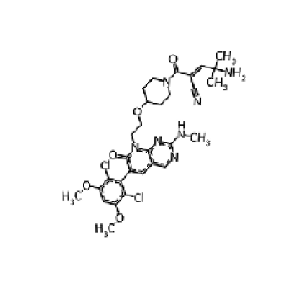 CNc1ncc2cc(-c3c(Cl)c(OC)cc(OC)c3Cl)c(=O)n(CCOC3CCN(C(=O)C(C#N)=CC(C)(C)N)CC3)c2n1